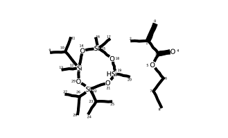 C=C(C)C(=O)OCCC.CC(C)[Si]1(C)O[Si](C)(C)O[SiH](C)O[Si](C(C)C)(C(C)C)O1